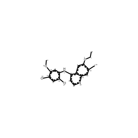 CCOc1cc2c(Nc3cc(OC)c(Cl)cc3Cl)ccnc2cc1I